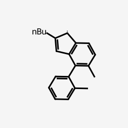 CCCCC1=Cc2c(ccc(C)c2-c2ccccc2C)[CH]1